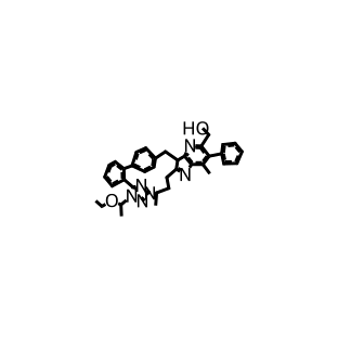 CCCCC1=Nc2c(nc(CO)c(-c3ccccc3)c2C)C1Cc1ccc(-c2ccccc2-c2nnnn2C(C)OCC)cc1